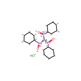 Cl.O=[PH](C1CCCCC1)[Pd]([PH](=O)C1CCCCC1)[PH](=O)C1CCCCC1